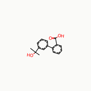 CC(C)(O)c1cccc(-c2ccccc2C(=O)O)c1